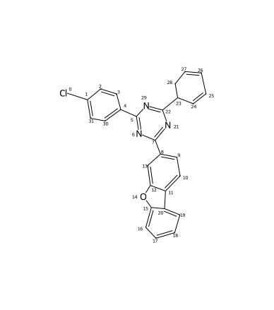 Clc1ccc(-c2nc(-c3ccc4c(c3)oc3ccccc34)nc(C3C=CC=CC3)n2)cc1